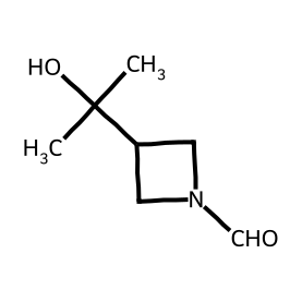 CC(C)(O)C1CN(C=O)C1